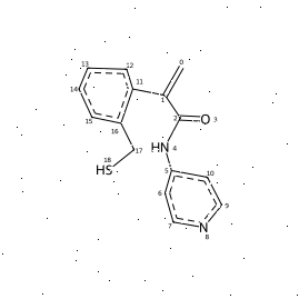 C=C(C(=O)Nc1ccncc1)c1ccccc1CS